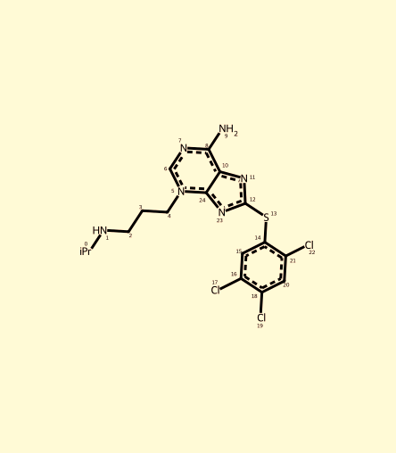 CC(C)NCCCn1cnc(N)c2nc(Sc3cc(Cl)c(Cl)cc3Cl)nc1-2